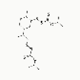 CC(C)OC(=S)SSCC(C)C1CCC(C)C(SSC(=S)OC(C)C)C1